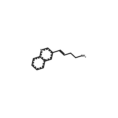 NCCC=Cc1cnc2ccccc2c1